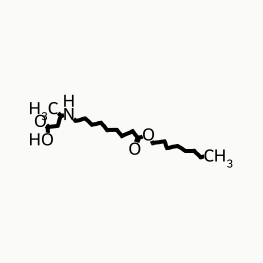 CCCCCCCCOC(=O)CCCCCCCCNC(C)CC(=O)O